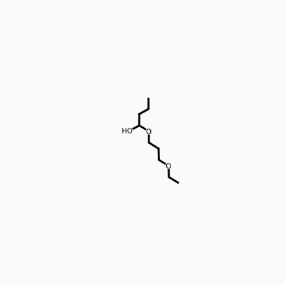 CCCC(O)OCCCOCC